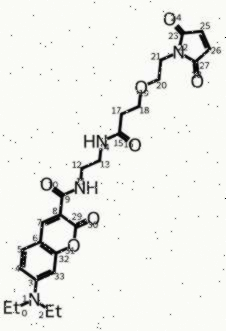 CCN(CC)c1ccc2cc(C(=O)NCCNC(=O)CCOCCN3C(=O)C=CC3=O)c(=O)oc2c1